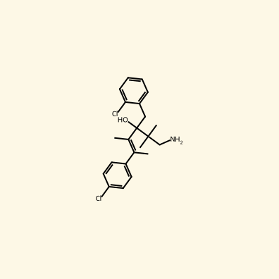 CC(=C(C)C(O)(Cc1ccccc1Cl)C(C)(C)CN)c1ccc(Cl)cc1